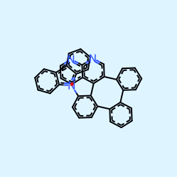 c1ccc2c(c1)-c1ccccc1-c1cnc3ncccc3c1-c1c-2cccc1-n1c2ccccc2c2ccccc21